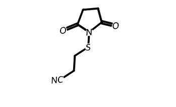 N#CCCSN1C(=O)CCC1=O